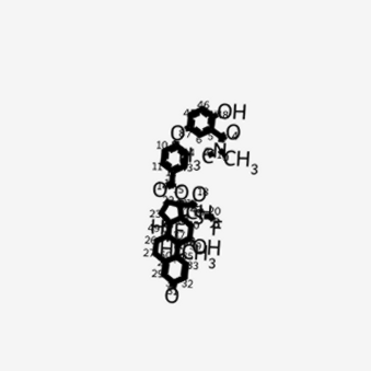 CN(C)C(=O)c1cc(Oc2ccc(C(=O)O[C@]3(C(=O)SCF)CC[C@H]4[C@@H]5CCC6=CC(=O)C=C[C@]6(C)[C@@]5(F)[C@@H](O)C[C@@]43C)cc2)ccc1O